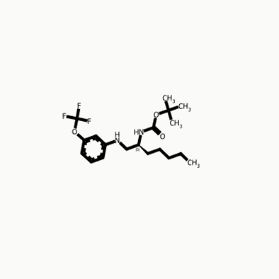 CCCCC[C@@H](CNc1cccc(OC(F)(F)F)c1)NC(=O)OC(C)(C)C